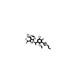 CCCN1CC(c2c(F)c(Cl)cc(C(C)n3nc(C(F)F)c4c(N)ncnc43)c2OCC)C1